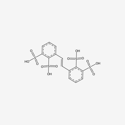 O=S(=O)(O)c1cccc(/C=C/c2cccc(S(=O)(=O)O)c2S(=O)(=O)O)c1S(=O)(=O)O